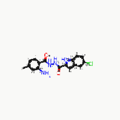 Cc1ccc(C(=O)NNC(=O)c2cc3cc(Cl)ccc3[nH]2)c(N)c1